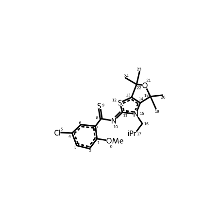 COc1ccc(Cl)cc1C(=S)N=c1sc2c(n1CC(C)C)C(C)(C)OC2(C)C